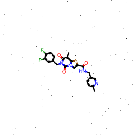 Cc1ccc(CNC(=O)c2cn3c(=O)n(Cc4ccc(F)c(F)c4)c(=O)c(C)c3s2)cn1